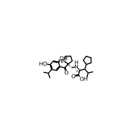 CC(C)c1cc(C(=O)[C@]2(CN[C@H](C(=O)O)C(C(C)C)C3CCCC3)CCCN2)c(O)cc1O